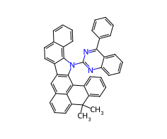 CC1(C)c2ccccc2-c2c3c1cccc3cc1c3ccc4ccccc4c3n(-c3nc(-c4ccccc4)c4ccccc4n3)c21